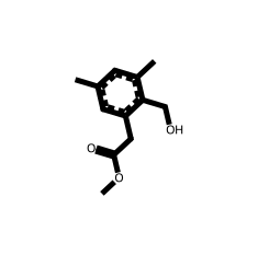 COC(=O)Cc1cc(C)cc(C)c1CO